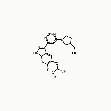 CC(C)OC1=C(F)CC2NN=C(c3cc(N4CC[C@@H](CO)C4)ncn3)C2=C1